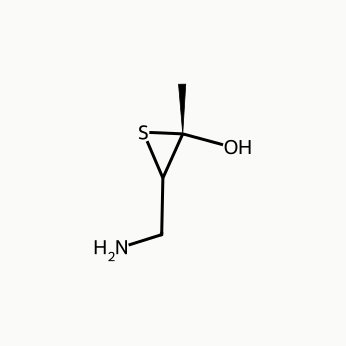 C[C@]1(O)SC1CN